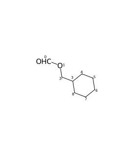 O=CO[CH]C1CCCCC1